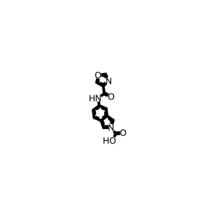 O=C(Nc1ccc2cn(C(=O)O)cc2c1)c1cocn1